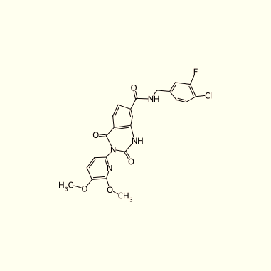 COc1ccc(-n2c(=O)[nH]c3cc(C(=O)NCc4ccc(Cl)c(F)c4)ccc3c2=O)nc1OC